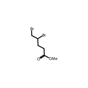 COC(=O)CCC(Br)CBr